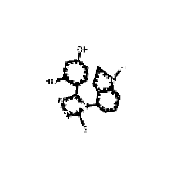 CCn1ccc2c(-n3c(S)nnc3-c3ccc(O)cc3O)cccc21